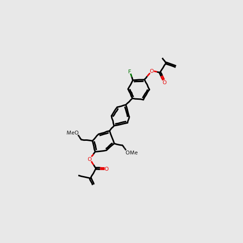 C=C(C)C(=O)Oc1ccc(-c2ccc(-c3cc(COC)c(OC(=O)C(=C)C)cc3COC)cc2)cc1F